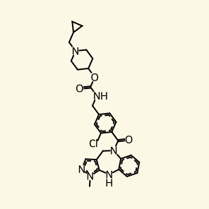 Cn1ncc2c1Nc1ccccc1N(C(=O)c1ccc(CNC(=O)OC3CCN(CC4CC4)CC3)cc1Cl)C2